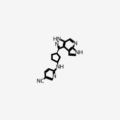 N#Cc1ccc(N[C@H]2CC[C@@H](c3n[nH]c4cnc5[nH]ccc5c34)C2)nc1